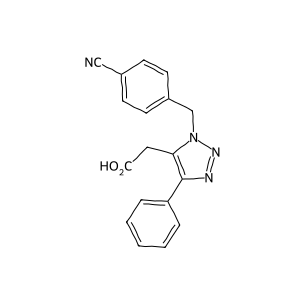 N#Cc1ccc(Cn2nnc(-c3ccccc3)c2CC(=O)O)cc1